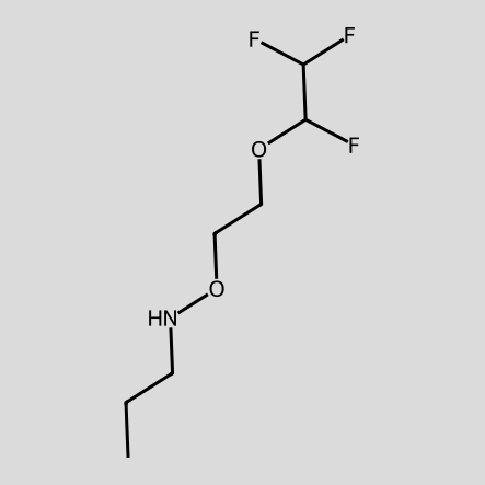 CCCNOCCOC(F)C(F)F